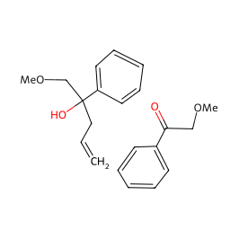 C=CCC(O)(COC)c1ccccc1.COCC(=O)c1ccccc1